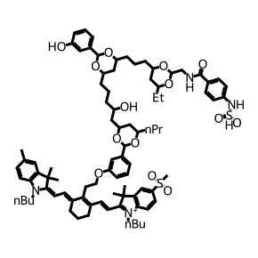 CCCCN1/C(=C/C=C2\CCCC(/C=C/C3=[N+](CCCC)c4ccc(S(C)(=O)=O)cc4C3(C)C)=C2CCOc2cccc(C3OC(CCC)CC(CC(O)CCCC4CC(CCCC5CC(CC)OC(CNC(=O)c6ccc(N[SH](=O)=O)cc6)O5)OC(c5cccc(O)c5)O4)O3)c2)C(C)(C)c2cc(C)ccc21